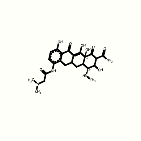 CN[C@@H]1C(O)C(C(N)=O)C(=O)[C@@]2(O)C(O)=C3C(=O)c4c(O)ccc(NC(=O)CN(C)C)c4CC3CC12